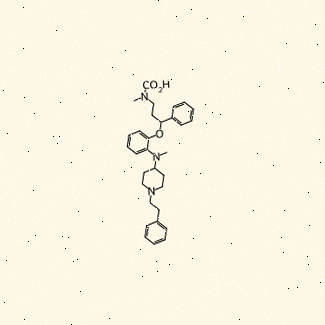 CN(CCC(Oc1ccccc1N(C)C1CCN(CCc2ccccc2)CC1)c1ccccc1)C(=O)O